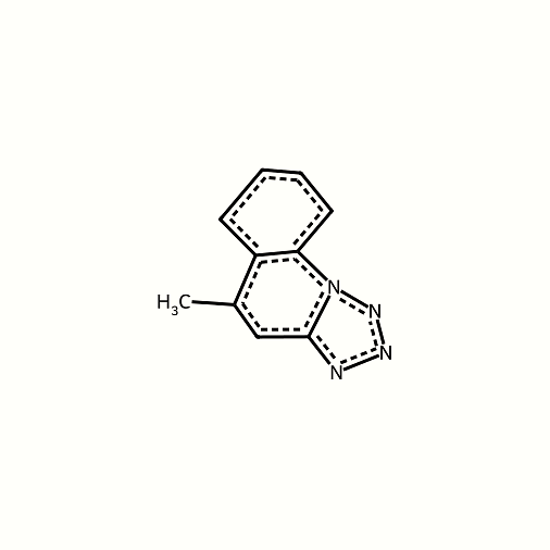 Cc1cc2nnnn2c2ccccc12